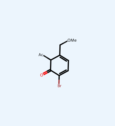 COCC1=CC=C(Br)C(=O)C1C(C)=O